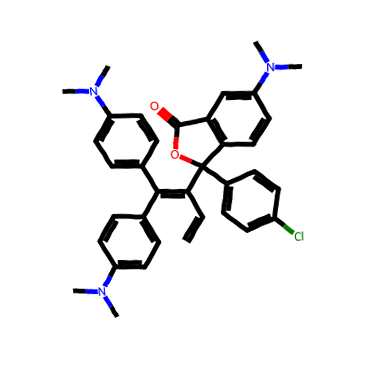 C=CC(=C(c1ccc(N(C)C)cc1)c1ccc(N(C)C)cc1)C1(c2ccc(Cl)cc2)OC(=O)c2cc(N(C)C)ccc21